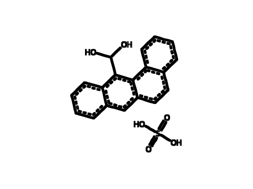 O=S(=O)(O)O.OC(O)c1c2ccccc2cc2ccc3ccccc3c12